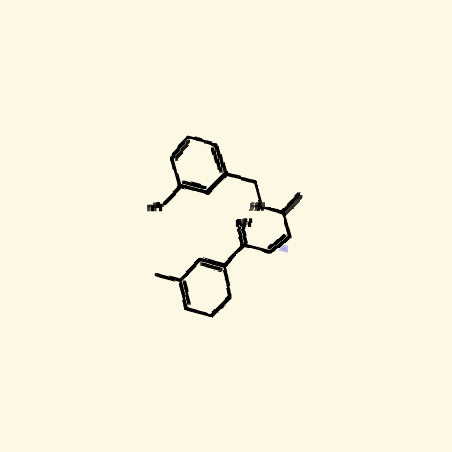 C=C(/C=C\C(=N)C1=CC(C)=CCC1)NCc1cccc(CCC)c1